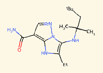 CCc1[nH]c2c(C(N)=O)cnn2c1NC(C)(C)CC(C)(C)C